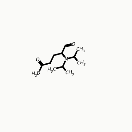 BC(=O)CCC(C=O)N(C(C)C)C(C)C